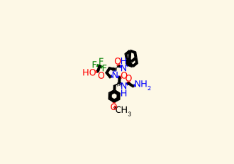 COc1ccc(C[C@H](NC(=O)CN)C(=O)N2CCC[C@@H]2C(=O)NC2C3CC4CC(C3)CC2C4)cc1.O=C(O)C(F)(F)F